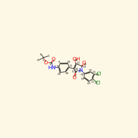 CC(C)(C)OC(=O)Nc1ccc(C2=C(O)C(=O)N(c3ccc(Cl)c(Cl)c3)C2=O)cc1